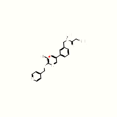 C\C=C(/C=N\C(OCc1ccncc1)=C(/C)CC)c1cccc(CN(C)C(=O)CN)c1